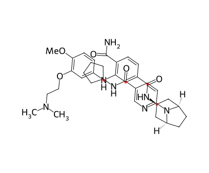 COc1ccc(Nc2cc(C(=O)N[C@H]3C[C@H]4CC[C@@H](C3)N4c3ccc(C(=O)NC4CCCC4)cn3)ccc2C(N)=O)cc1OCCN(C)C